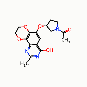 CC(=O)N1CC[C@H](Oc2cc3c(O)nc(C)nc3c3c2OCCO3)C1